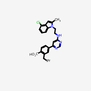 Cc1cc2c(Cl)cccc2n1CCNc1cc(-c2ccc(C(=O)O)c(CC(C)C)c2)ncn1